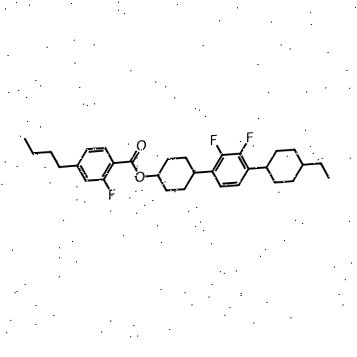 CCCCc1ccc(C(=O)OC2CCC(c3ccc(C4CCC(CC)CC4)c(F)c3F)CC2)c(F)c1